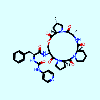 C[C@H]1C[C@H]2C(=O)OC[C@H](NC(=O)[C@H](Cc3ccccc3)NC(=O)Nc3ccncc3)C(=O)N3CCC[C@H]3C(=O)N3CCCC[C@H]3C(=O)N[C@@H](C)C(=O)N2C1